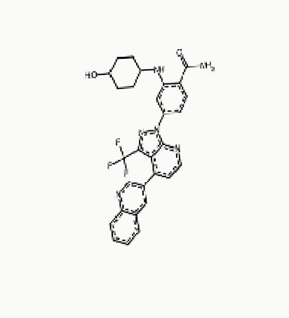 NC(=O)c1ccc(-n2nc(C(F)(F)F)c3c(-c4cnc5ccccc5c4)ccnc32)cc1NC1CCC(O)CC1